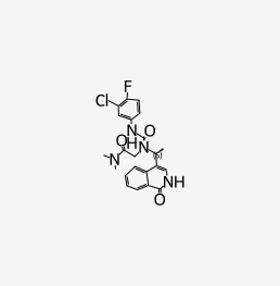 C[C@@H](c1c[nH]c(=O)c2ccccc12)N(CC(=O)N(C)C)C(=O)Nc1ccc(F)c(Cl)c1